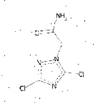 NC(=O)Cn1nc(Cl)nc1Cl